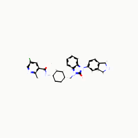 Cc1ncc(Cl)cc1C(=O)N[C@H]1CC[C@H](Cn2c(=O)n(-c3ccc4c(c3)CNC4)c3ccccc32)CC1